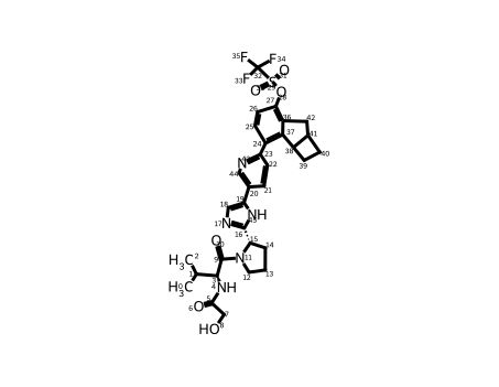 CC(C)[C@H](NC(=O)CO)C(=O)N1CCC[C@H]1c1ncc(-c2ccc(-c3ccc(OS(=O)(=O)C(F)(F)F)c4c3C3CCC3C4)nc2)[nH]1